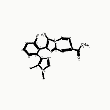 COC(=O)c1ccn2c(N)c(-c3c(F)cccc3-c3ncn(C)c3C)nc2c1